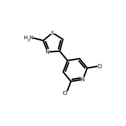 Nc1nc(-c2cc(Cl)nc(Cl)c2)cs1